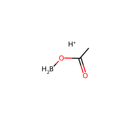 BOC(C)=O.[H+]